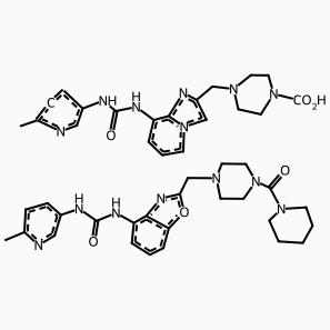 Cc1ccc(NC(=O)Nc2cccc3oc(CN4CCN(C(=O)N5CCCCC5)CC4)nc23)cn1.Cc1ccc(NC(=O)Nc2cccn3cc(CN4CCN(C(=O)O)CC4)nc23)cn1